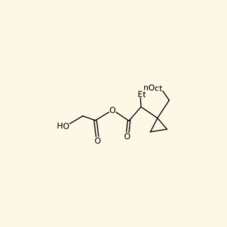 CCCCCCCCCC1(C(CC)C(=O)OC(=O)CO)CC1